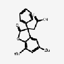 C=C(C#N)CC1(c2ccccc2)C(=O)Oc2c(C(C)(C)C)cc(C(C)(C)C)cc21